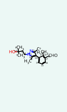 Cc1nn(CCC(C)(C)O)c(C)c1-c1cccc(C=O)c1C